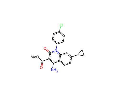 COC(=O)c1c(N)c2ccc(C3CC3)cc2n(-c2ccc(Cl)cc2)c1=O